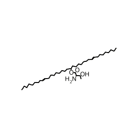 CCCCCCCCC=CCCCCCCCCC(CCCCCCCC=CCCCCCCCC)OC(=O)C(N)C(C)O